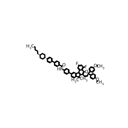 CCCCC[C@H]1CC[C@H](c2ccc(-c3ccc(C(=O)Nc4ccc(-c5ccc6c(c5)-c5c(c7c(c8c(F)cc(F)cc58)OC(c5ccc(OC)cc5)(c5ccc(OC)cc5)C=C7)C6(C)C)cc4)cc3)cc2)CC1